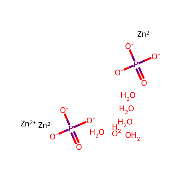 O.O.O.O.O.O.O=P([O-])([O-])[O-].O=P([O-])([O-])[O-].[Zn+2].[Zn+2].[Zn+2]